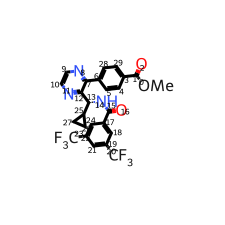 COC(=O)c1ccc(-c2nccnc2[C@H](NC(=O)c2cc(C(F)(F)F)cc(C(F)(F)F)c2)C2CC2)cc1